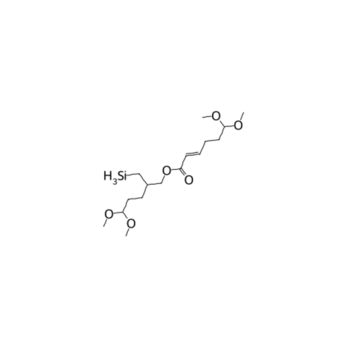 COC(CCC=CC(=O)OCC(C[SiH3])CCC(OC)OC)OC